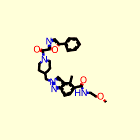 COCCNC(=O)c1ccc2nn(CC3CCN(C(=O)c4ncc(-c5ccccc5)o4)CC3)cc2c1C